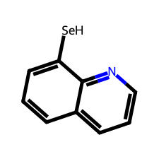 [SeH]c1cccc2cccnc12